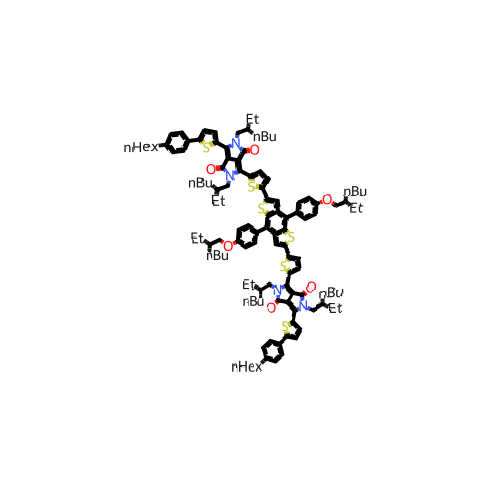 CCCCCCc1ccc(-c2ccc(C3=C4C(=O)N(CC(CC)CCCC)C(c5ccc(-c6cc7c(-c8ccc(OCC(CC)CCCC)cc8)c8sc(-c9ccc(C%10=C%11C(=O)N(CC(CC)CCCC)C(c%12ccc(-c%13ccc(CCCCCC)cc%13)s%12)=C%11C(=O)N%10CC(CC)CCCC)s9)cc8c(-c8ccc(OCC(CC)CCCC)cc8)c7s6)s5)=C4C(=O)N3CC(CC)CCCC)s2)cc1